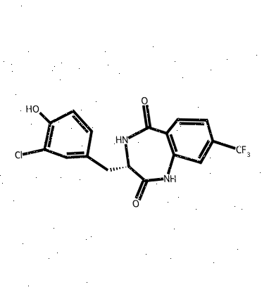 O=C1N[C@@H](Cc2ccc(O)c(Cl)c2)C(=O)Nc2cc(C(F)(F)F)ccc21